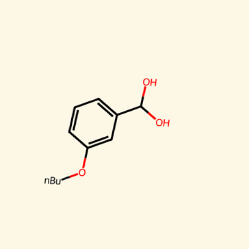 CCCCOc1cccc(C(O)O)c1